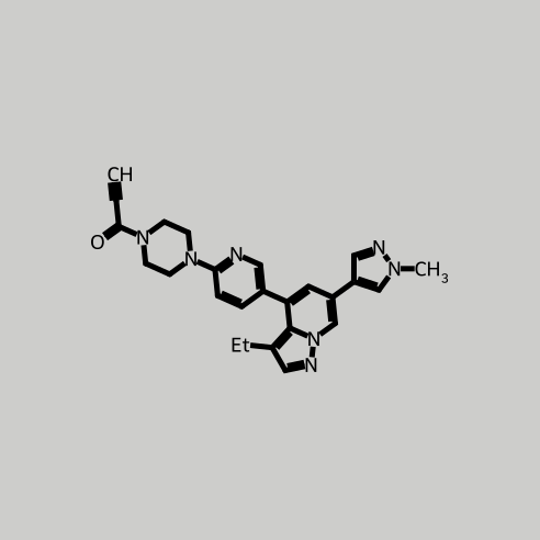 C#CC(=O)N1CCN(c2ccc(-c3cc(-c4cnn(C)c4)cn4ncc(CC)c34)cn2)CC1